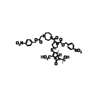 C[C@@H](O)[C@H]1C(=O)N2C(C(=O)O)=C(S[C@H]3C[C@@H](C(=O)N4CCCN(CC(=O)OCc5ccc([N+](=O)[O-])cc5)CC4)N(C(=O)OCc4ccc([N+](=O)[O-])cc4)C3)[C@H](C)[C@H]12